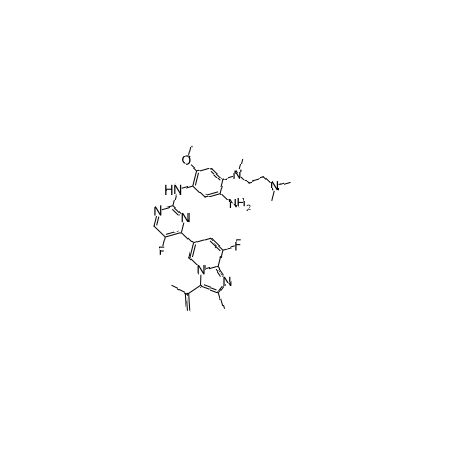 C=C(C)c1c(C)nc2c(F)cc(-c3nc(Nc4cc(N)c(N(C)CCN(C)C)cc4OC)ncc3F)cn12